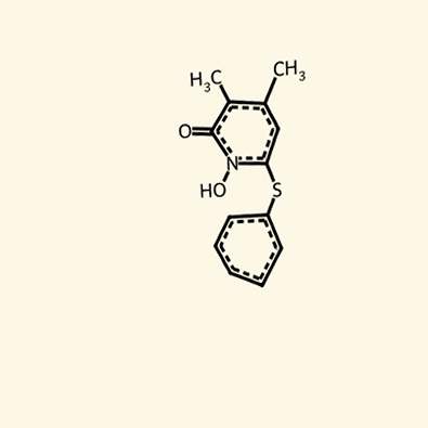 Cc1cc(Sc2ccccc2)n(O)c(=O)c1C